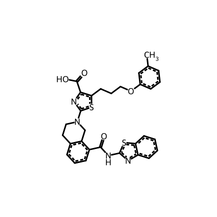 Cc1cccc(OCCCc2sc(N3CCc4cccc(C(=O)Nc5nc6ccccc6s5)c4C3)nc2C(=O)O)c1